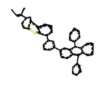 C/C=C(\C)c1ccc2sc3c(-c4cccc(-c5ccc6c(-c7ccccc7)c7ccccc7c(-c7ccccc7)c6c5)c4)cccc3c2c1